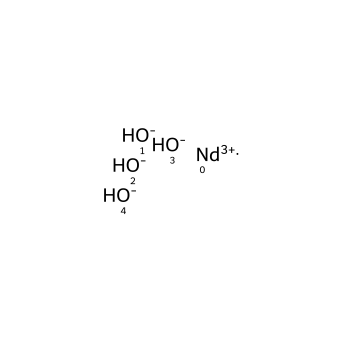 [Nd+3].[OH-].[OH-].[OH-].[OH-]